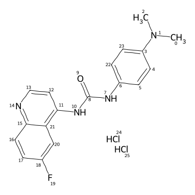 CN(C)c1ccc(NC(=O)Nc2ccnc3ccc(F)cc23)cc1.Cl.Cl